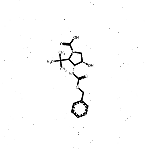 CC(C)(C)C1[C@@H](NC(=O)OCc2ccccc2)[C@H](O)CN1C(=O)O